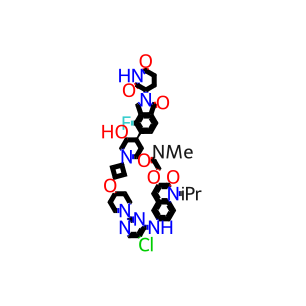 CNC(=O)COc1cc2cc(Nc3nc(N4CCC(O[C@H]5C[C@H](N6CC[C@H](c7ccc8c(c7F)CN(C7CCC(=O)NC7=O)C8=O)[C@H](O)C6)C5)CC4)ncc3Cl)ccc2n(C(C)C)c1=O